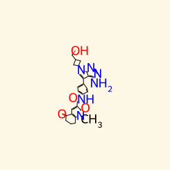 Cn1c2c(cc(C(=O)Nc3ccc(-c4cn(C5CC(CO)C5)c5ncnc(N)c45)cc3)c1=O)C(=O)CCC2